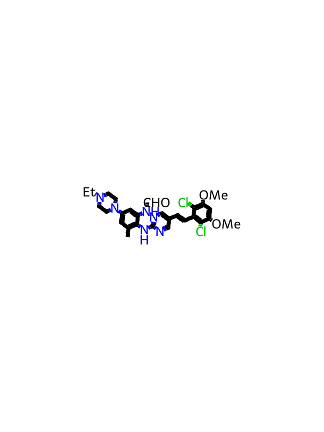 CCN1CCN(c2cc(C)c(Nc3ncc(/C=C/c4c(Cl)c(OC)cc(OC)c4Cl)cn3)c(NC=O)c2)CC1